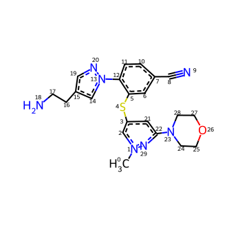 C[n+]1cc(Sc2cc(C#N)ccc2-n2cc(CCN)cn2)cc(N2CCOCC2)n1